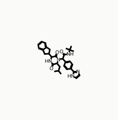 CC(C)CC1C(=O)NC(C2Cc3ccccc3C2)C(=O)N1C(C(=O)NC(C)(C)C)c1ccc(-c2ncc[nH]2)cc1